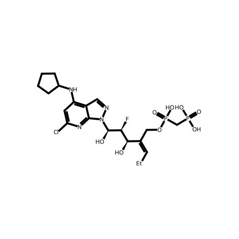 CC/C=C(/COP(=O)(O)CP(=O)(O)O)[C@@H](O)[C@H](F)[C@@H](O)n1ncc2c(NC3CCCC3)cc(Cl)nc21